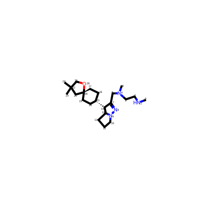 CNCCN(C)CC1=NN2CCCC2C1[C@H]1CC[C@@]2(CC1)CC(C)(C)CO2